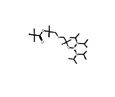 CC(C)N(C(C)C)P(OC(C)(C)CSCC(C)(C)SC(=O)C(C)(C)C)N(C(C)C)C(C)C